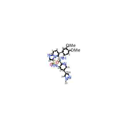 COc1ccc(-c2ccc3ncc(S(=O)(=O)Nc4cc(-c5cnn(C)c5)cnc4C=N)n3c2)cc1OC